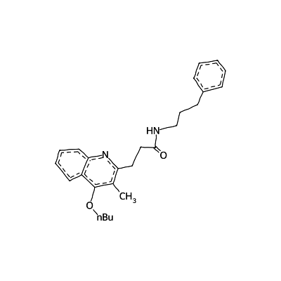 CCCCOc1c(C)c(CCC(=O)NCCCc2ccccc2)nc2ccccc12